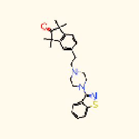 CC1(C)C(=O)C(C)(C)c2cc(CCN3CCN(c4nsc5ccccc45)CC3)ccc21